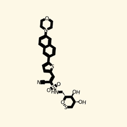 N#C/C(=C\c1ccc(-c2ccc3cc(N4CCOCC4)ccc3c2)s1)S(=O)(=O)NC[C@H]1OSC[C@@H](O)[C@@H]1O